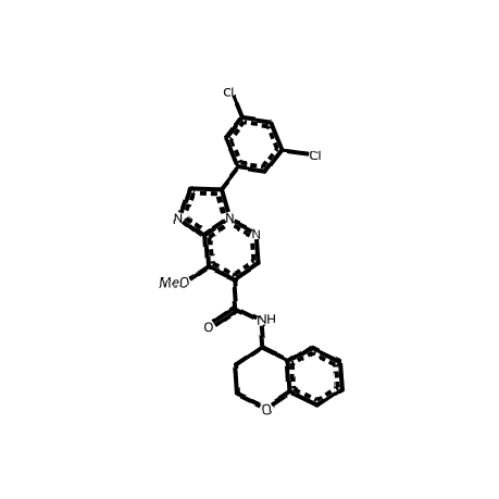 COc1c(C(=O)NC2CCOc3ccccc32)cnn2c(-c3cc(Cl)cc(Cl)c3)cnc12